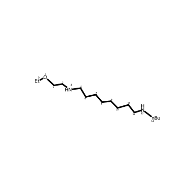 [CH2]COCCNCCCCCCCCNCCCC